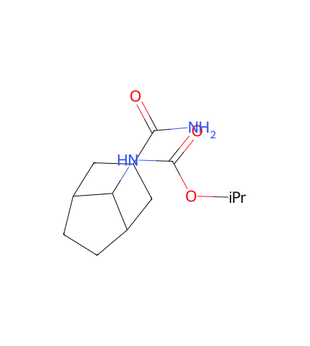 CC(C)OC(=O)NC1C2CCC1CC(C(N)=O)C2